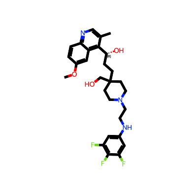 COc1ccc2ncc(C)c([C@H](O)CCC3(CO)CCN(CCNc4cc(F)c(F)c(F)c4)CC3)c2c1